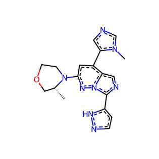 C[C@@H]1COCCN1c1cc(-c2cncn2C)c2cnc(-c3ccn[nH]3)n2n1